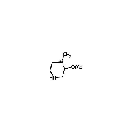 COC1CNCCN1C